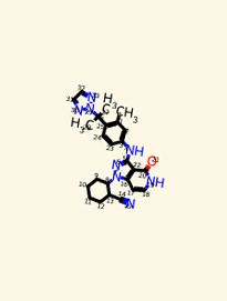 Cc1cc(Nc2nn(C3CCCCC3C#N)c3cc[nH]c(=O)c23)ccc1C(C)(C)n1nccn1